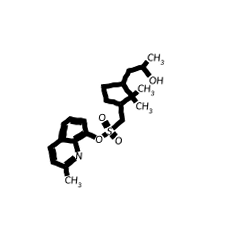 Cc1ccc2cccc(OS(=O)(=O)CC3CCC(CC(C)O)C3(C)C)c2n1